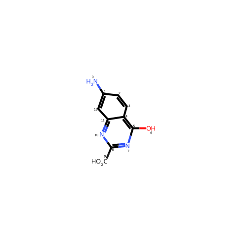 Nc1ccc2c(O)nc(C(=O)O)nc2c1